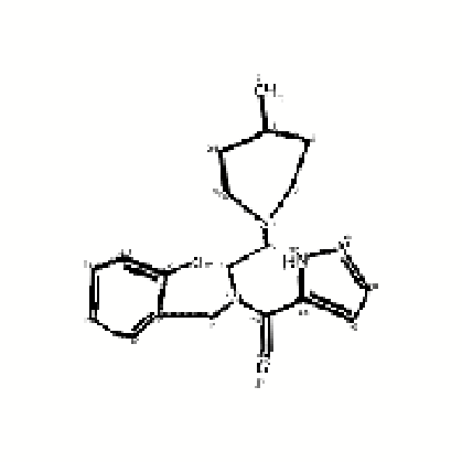 CC1CCN(CCN(Cc2ccccc2Cl)C(=O)c2ccn[nH]2)CC1